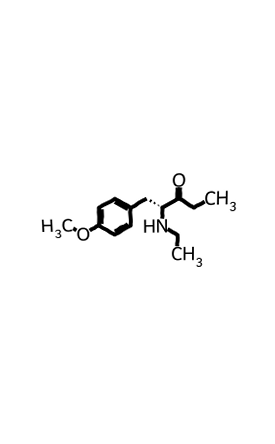 CCN[C@H](Cc1ccc(OC)cc1)C(=O)CC